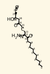 CCCCCCCCCCC(=O)C(CCCC(=O)CC(O)C#P=O)=NN